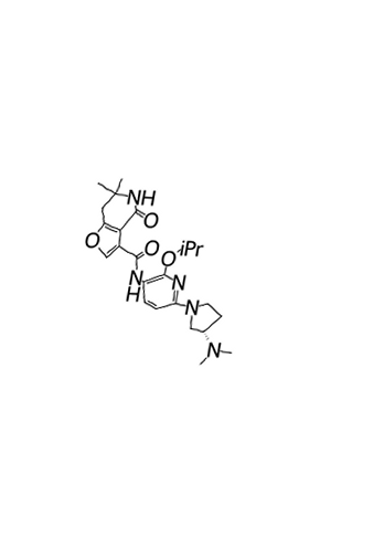 CC(C)Oc1nc(N2CC[C@H](N(C)C)C2)ccc1NC(=O)c1coc2c1C(=O)NC(C)(C)C2